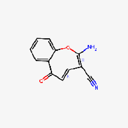 N#CC1=C(\N)Oc2ccccc2C(=O)\C=C\1